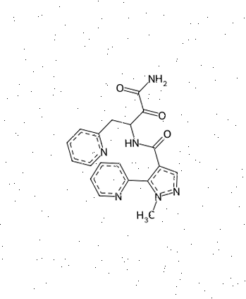 Cn1ncc(C(=O)NC(Cc2ccccn2)C(=O)C(N)=O)c1-c1ccccn1